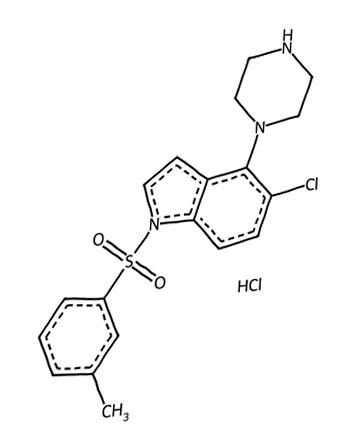 Cc1cccc(S(=O)(=O)n2ccc3c(N4CCNCC4)c(Cl)ccc32)c1.Cl